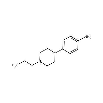 CCCN1CCC(c2ccc(N)cc2)CC1